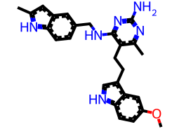 COc1ccc2[nH]cc(CCc3c(C)nc(N)nc3NCc3ccc4[nH]c(C)cc4c3)c2c1